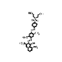 COc1cc(/N=N/c2ccc(S(=O)(=O)N(CCO)CCO)cc2)c(C)cc1/N=N/c1c(S(=O)(=O)O)cc2cccc(N)c2c1O